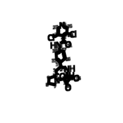 O=C(O)CC(Nc1c(N2CCCC2)c(=O)c1=O)c1ccc(NC(=O)c2c(Cl)cncc2Cl)cc1